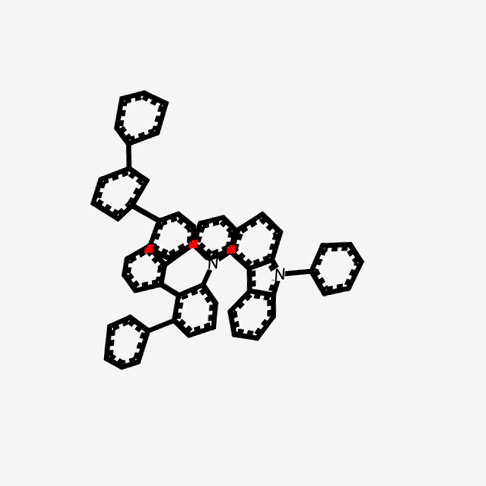 c1ccc(-c2cccc(-c3ccc(N(c4cccc(-c5ccccc5)c4-c4ccccc4-c4ccccc4)c4cccc5c4c4ccccc4n5-c4ccccc4)cc3)c2)cc1